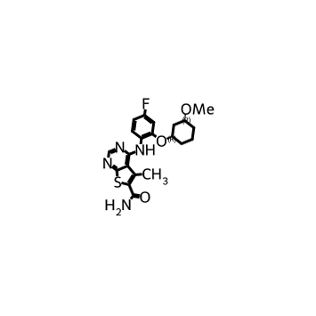 CO[C@@H]1CCC[C@@H](Oc2cc(F)ccc2Nc2ncnc3sc(C(N)=O)c(C)c23)C1